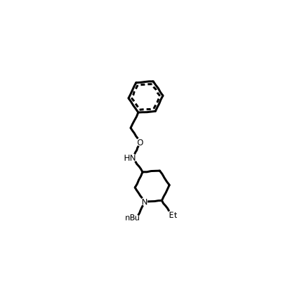 CCCCN1CC(NOCc2ccccc2)CCC1CC